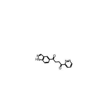 O=C(CCC(=O)c1cccnn1)c1ccc2[nH]ncc2c1